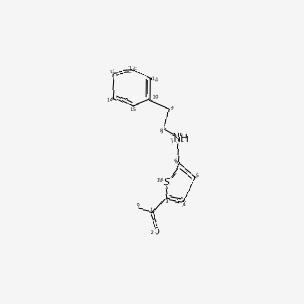 CC(=O)c1ccc(NCCc2ccccc2)s1